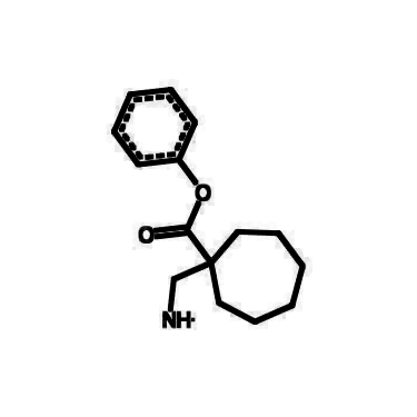 [NH]CC1(C(=O)Oc2ccccc2)CCCCCC1